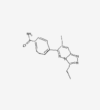 CCc1nnc2cc(C)c(-c3ccc(C(N)=O)cc3)nn12